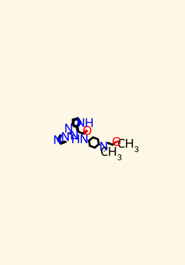 COCCN(C)[C@H]1CC[C@H](NC(=O)c2nc(-n3ccnc3)nc3cc[nH]c23)CC1